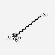 CCCCCCCCCCCCCCCCCCCCCC=CCCCC(P(=O)=O)[N+](C)(C)C